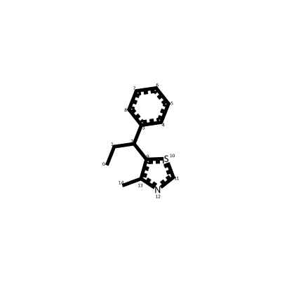 CCC(c1ccccc1)c1scnc1C